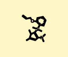 C=CCOc1ccccc1[Si](C)(C)C1=C(N(C)C)C=C(C)C1C